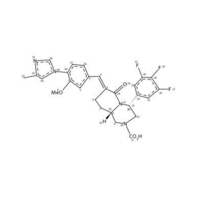 COc1cc(C=C2CC[C@H]3CN(C(=O)O)C[C@@H](c4cc(F)c(F)c(F)c4)N3C2=O)ccc1-n1cnc(C)c1